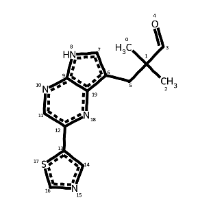 CC(C)(C=O)Cc1c[nH]c2ncc(-c3cncs3)nc12